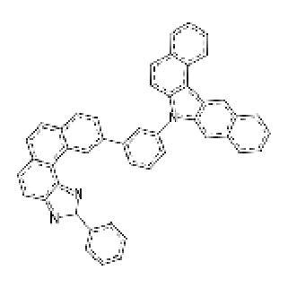 c1ccc(C2N=c3ccc4ccc5ccc(-c6cccc(-n7c8cc9ccccc9cc8c8c9ccccc9ccc87)c6)cc5c4c3=N2)cc1